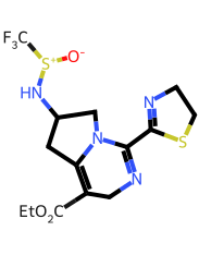 CCOC(=O)C1=C2CC(N[S+]([O-])C(F)(F)F)CN2C(C2=NCCS2)=NC1